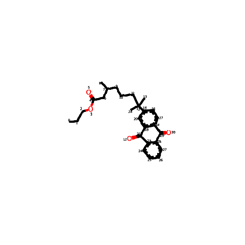 CCCOC(=O)CC(C)CCCC(C)(C)c1ccc2c(c1)C(=O)c1ccccc1C2=O